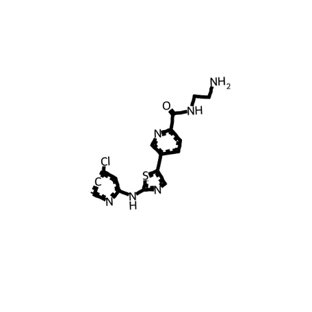 NCCNC(=O)c1ccc(-c2cnc(Nc3cc(Cl)ccn3)s2)cn1